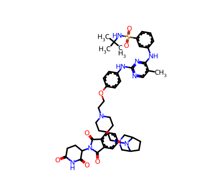 Cc1cnc(Nc2ccc(OCCN3CCC(CN4CC5CCC(C4)N5c4ccc5c(c4)C(=O)N(C4CCC(=O)NC4=O)C5=O)CC3)cc2)nc1Nc1cccc(S(=O)(=O)NC(C)(C)C)c1